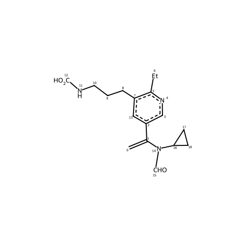 C=C(c1cnc(CC)c(CCCNC(=O)O)c1)N(C=O)C1CC1